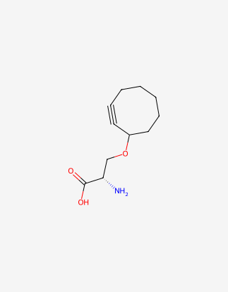 N[C@@H](COC1C#CCCCCC1)C(=O)O